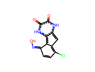 O=c1[nH]c2c([nH]c1=O)=C1C(=C(Cl)C=C/C1=N/O)C=2